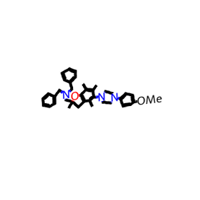 COc1ccc(N2CCN(c3c(C)c(C)c4c(c3C)CC(C)(CN(Cc3ccccc3)Cc3ccccc3)O4)CC2)cc1